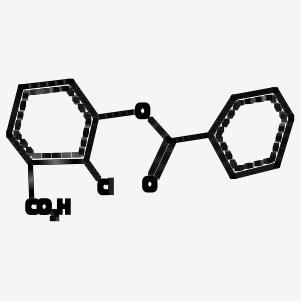 O=C(Oc1cccc(C(=O)O)c1Cl)c1ccccc1